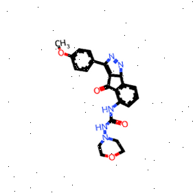 COc1ccc(C2=C3C(=O)c4c(NC(=O)NN5CCOCC5)cccc4C3N=N2)cc1